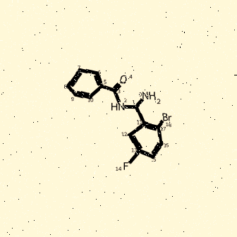 NC(NC(=O)c1ccccc1)c1cc(F)ccc1Br